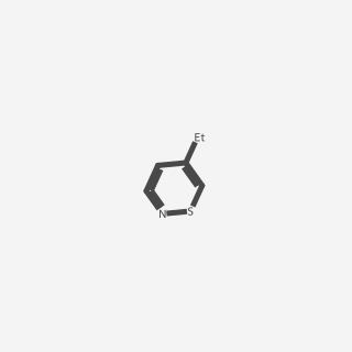 CCC1=CSN=C=C1